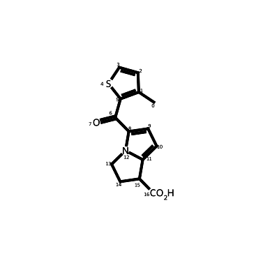 Cc1ccsc1C(=O)c1ccc2n1CCC2C(=O)O